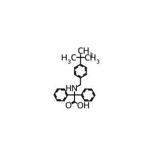 CC(C)(C)c1ccc(CNC(C(=O)O)(c2ccccc2)c2ccccc2)cc1